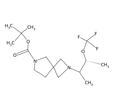 CC([C@@H](C)OC(F)(F)F)N1CC2(CCN(C(=O)OC(C)(C)C)C2)C1